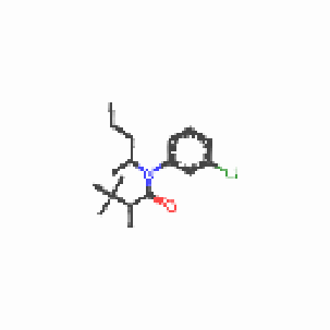 CCCC(C)N(C(=O)C(C)C(C)(C)C)c1cccc(Cl)c1